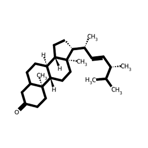 CC(C)[C@@H](C)C=C[C@@H](C)[C@H]1CC[C@H]2[C@@H]3CCC4CC(=O)CC[C@]4(C)[C@H]3CC[C@]12C